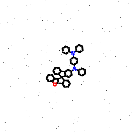 c1ccc(N(c2ccccc2)c2ccc(N(c3ccccc3)c3ccc4c(c3)-c3ccccc3C43c4ccccc4-c4oc5ccccc5c43)cc2)cc1